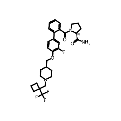 NC(=O)[C@@H]1CCCN1C(=O)c1ccccc1-c1ccc(OCC2CCN(CC3(C(F)(F)F)CCC3)CC2)c(F)c1